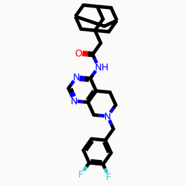 O=C(CC12CC3CC(CC(C3)C1)C2)Nc1ncnc2c1CCN(Cc1ccc(F)c(F)c1)C2